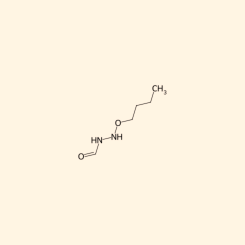 CCCCONNC=O